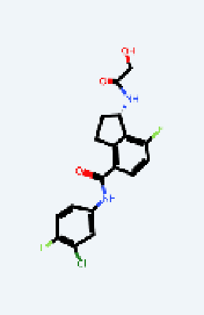 O=C(CO)N[C@H]1CCc2c(C(=O)Nc3ccc(F)c(Cl)c3)ccc(F)c21